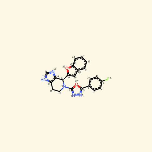 Fc1ccc(-c2nnc(N3CCc4[nH]cnc4[C@H]3c3cc4ccccc4o3)o2)cc1